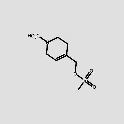 CS(=O)(=O)OCC1=CCN(C(=O)O)CC1